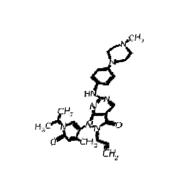 C=CCn1c(=O)c2cnc(Nc3ccc(N4CCN(C)CC4)cc3)nc2n1-c1cn(C(C)C)c(=O)cc1C